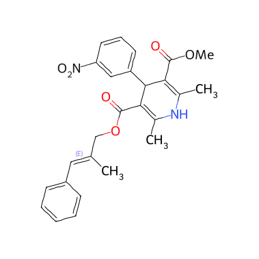 COC(=O)C1=C(C)NC(C)=C(C(=O)OC/C(C)=C/c2ccccc2)C1c1cccc([N+](=O)[O-])c1